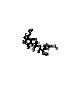 COCc1scc(Br)c1C1=C(C(=O)O)N2C(=O)[C@@H](NC(=O)/C(=N/O)c3csc(N)n3)[C@H]2SC1